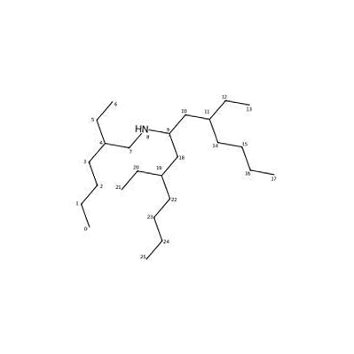 CCCCC(CC)CN[C](CC(CC)CCCC)CC(CC)CCCC